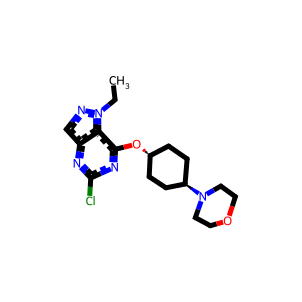 CCn1ncc2nc(Cl)nc(O[C@H]3CC[C@H](N4CCOCC4)CC3)c21